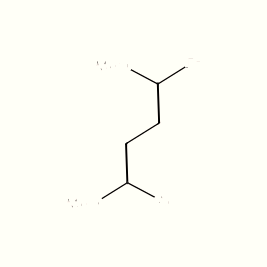 CCC(CCC(OC)C(C)=O)OC